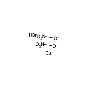 Br.O=[N+]([O-])[O-].O=[N+]([O-])[O-].[Cu]